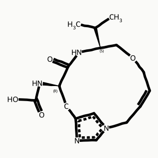 CC(C)[C@H]1COCC=CCn2cnc(c2)C[C@@H](NC(=O)O)C(=O)N1